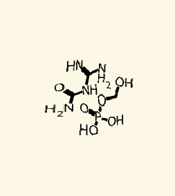 N=C(N)NC(N)=O.O=P(O)(O)OCO